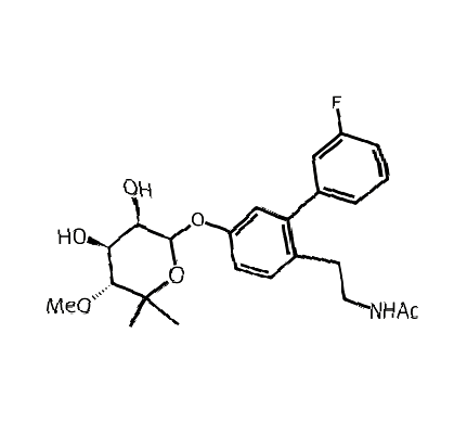 CO[C@@H]1[C@@H](O)[C@@H](O)C(Oc2ccc(CCNC(C)=O)c(-c3cccc(F)c3)c2)OC1(C)C